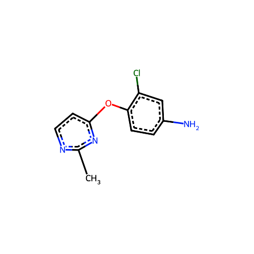 Cc1nccc(Oc2ccc(N)cc2Cl)n1